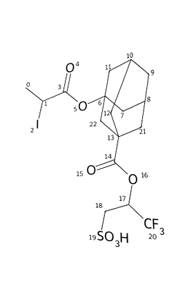 CC(I)C(=O)OC12CC3CC(C1)CC(C(=O)OC(CS(=O)(=O)O)C(F)(F)F)(C3)C2